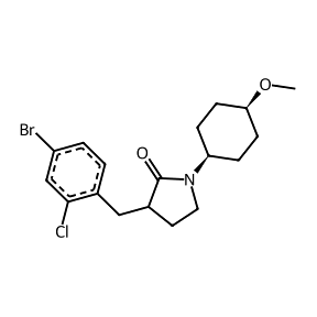 CO[C@H]1CC[C@@H](N2CCC(Cc3ccc(Br)cc3Cl)C2=O)CC1